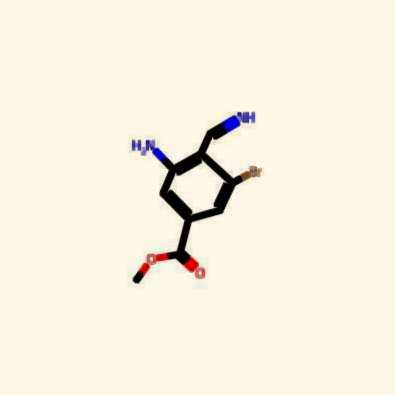 COC(=O)c1cc(N)c(C=N)c(Br)c1